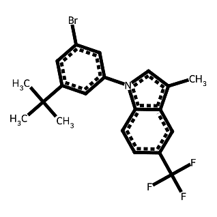 Cc1cn(-c2cc(Br)cc(C(C)(C)C)c2)c2ccc(C(F)(F)F)cc12